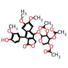 COc1cc(-c2c3c(c(OC4OCC(OC(C)=O)C(OC(C)=O)C4OC(C)=O)c4cc(OC)c(OC)cc24)COC3=O)ccc1O